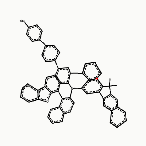 CC(C)(C)c1ccc(-c2ccc(-c3ccc(N(c4ccc5c(c4)-c4cc6ccccc6cc4C5(C)C)c4ccc5ccccc5c4-c4cccc5c4oc4ccccc45)c(-c4ccccc4)c3)cc2)cc1